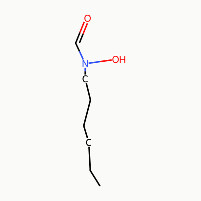 CCCCCCN(O)C=O